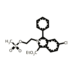 CCOC(=O)c1c2ccc(Cl)cc2c(-c2ccccc2)n1CCOS(C)(=O)=O